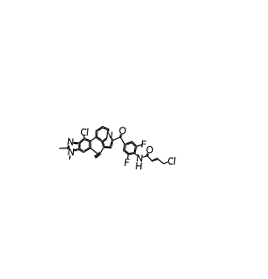 C#Cc1cc(C(=O)c2cc(F)c(NC(=O)/C=C/CCl)c(F)c2)n2cccc(-c3c(C)cc4c(nc(C)n4C)c3Cl)c12